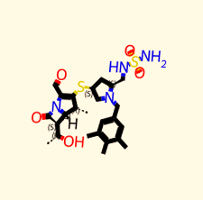 Cc1cc(CN2C[C@@H](SC3=C(C=O)N4C(=O)[C@H]([C@@H](C)O)[C@H]4[C@H]3C)C[C@H]2CNS(N)(=O)=O)cc(C)c1C